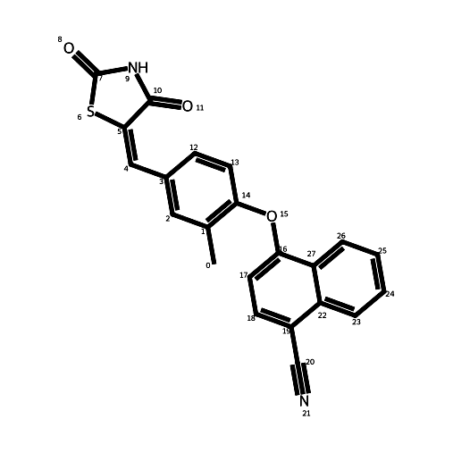 Cc1cc(C=C2SC(=O)NC2=O)ccc1Oc1ccc(C#N)c2ccccc12